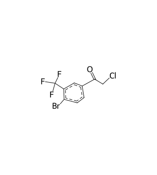 O=C(CCl)c1ccc(Br)c(C(F)(F)F)c1